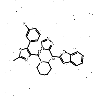 Cc1nc(C(=O)N2CCCCC2[C@@H](c2cc3ccccc3o2)c2nnco2)c(-c2cccc(F)c2)s1